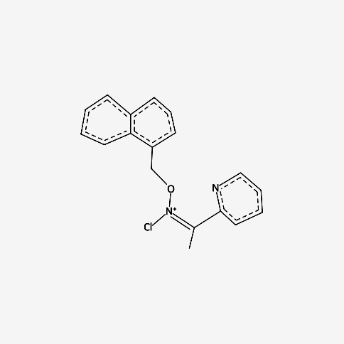 CC(c1ccccn1)=[N+](Cl)OCc1cccc2ccccc12